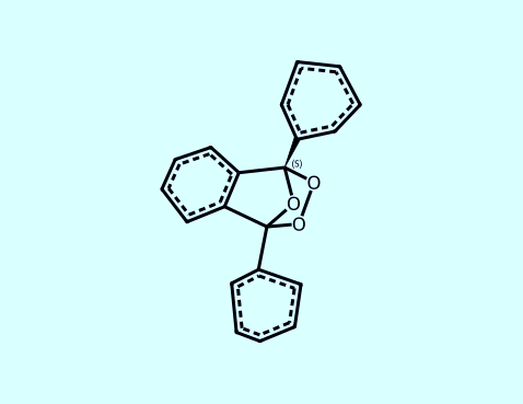 c1ccc(C23OO[C@](c4ccccc4)(O2)c2ccccc23)cc1